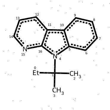 CCC(C)(C)n1c2ccccc2c2cccnc21